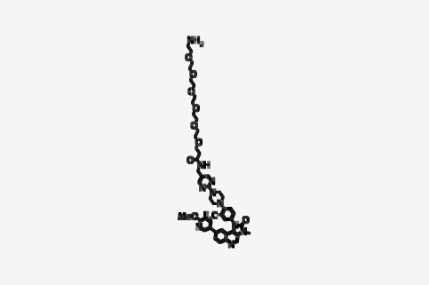 COc1ccc(-c2ccc3ncc4c(c3c2)n(-c2ccc(N3CCN(c5ncc(CNC(=O)CCOCCOCCOCCOCCOCCOCCN)cn5)CC3)c(C(F)(F)F)c2)c(=O)n4C)cn1